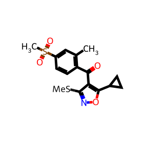 CSc1noc(C2CC2)c1C(=O)c1ccc(S(C)(=O)=O)cc1C